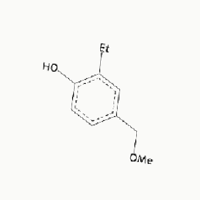 CCc1cc(COC)ccc1O